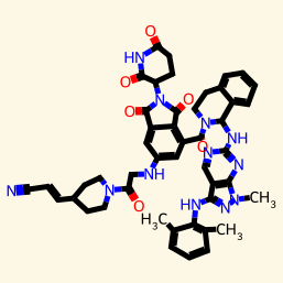 Cc1cccc(C)c1Nc1nn(C)c2nc(NC3c4ccccc4CCN3C(=O)c3cc(NCC(=O)N4CCC(C=CC#N)CC4)cc4c3C(=O)N(C3CCC(=O)NC3=O)C4=O)ncc12